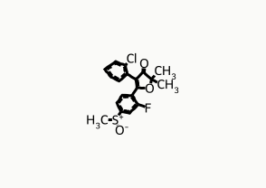 C[S+]([O-])c1ccc(C2=C(c3ccccc3Cl)C(=O)C(C)(C)O2)c(F)c1